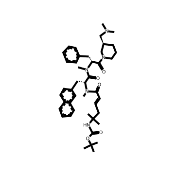 CN(C)C[C@H]1CCCN(C(=O)[C@@H](Cc2ccccc2)N(C)C(=O)[C@@H](Cc2ccc3ccccc3c2)N(C)C(=O)/C=C/CC(C)(C)NC(=O)OC(C)(C)C)C1